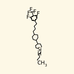 CCCCC[SiH]1CCC(C2CCC(CCCCc3cc(F)c(C(F)(F)F)c(F)c3)CC2)CC1